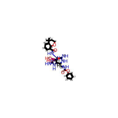 CC1(C)CCOc2c(C(=O)N[C@H]3CN4C(=N)N[C@@H](CNC(=O)Oc5ccccc5)[C@@H]5NC(=N)N[C@@]54C3(O)O)cccc21